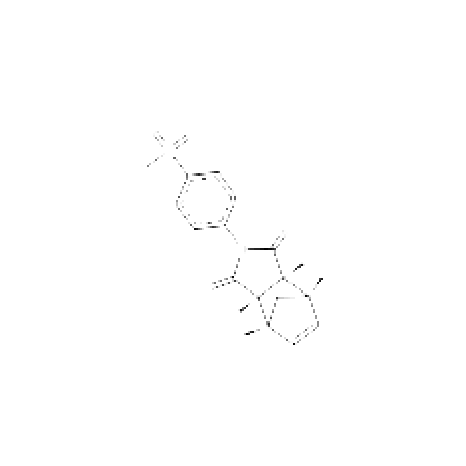 O=C1[C@@H]2[C@H](C(=O)N1c1ccc(S(=O)(=O)Cl)cc1)[C@@H]1C=C[C@H]2C1